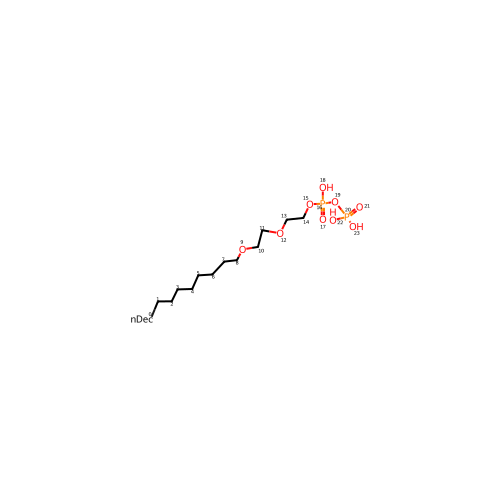 CCCCCCCCCCCCCCCCCCOCCOCCOP(=O)(O)OP(=O)(O)O